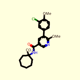 COc1ccc(-c2cc(C(=O)NC3(C(=O)O)CCCCCC3)cnc2OC)cc1Cl